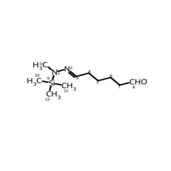 CN(/N=C/CCCCC=O)[Si](C)(C)C